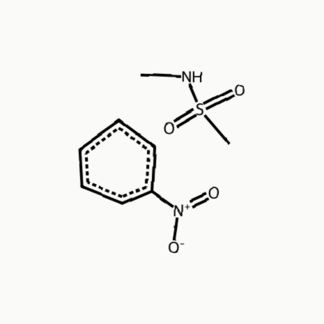 CNS(C)(=O)=O.O=[N+]([O-])c1ccccc1